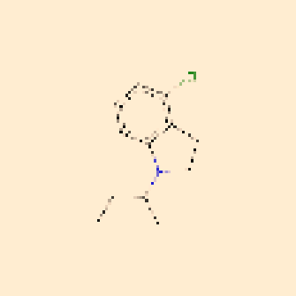 CCC(C)N1CCc2c(Cl)cccc21